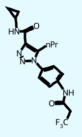 CCCc1c(C(=O)NC2CC2)nnn1-c1ccc(NC(=O)CC(F)(F)F)cc1